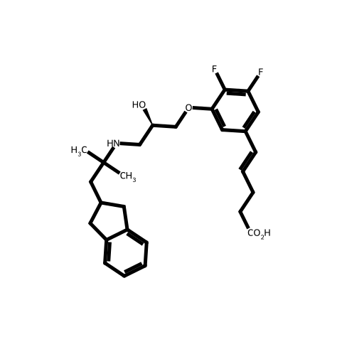 CC(C)(CC1Cc2ccccc2C1)NC[C@@H](O)COc1cc(C=CCCC(=O)O)cc(F)c1F